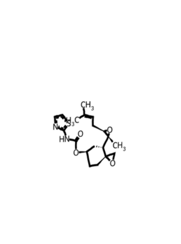 CC(C)=CC[C@H]1O[C@]1(C)[C@H]1C[C@H](OC(=O)Nc2nccs2)CC[C@]12CO2